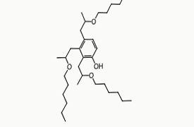 CCCCCCOC(C)Cc1ccc(O)c(CC(C)OCCCCCC)c1CC(C)OCCCCCC